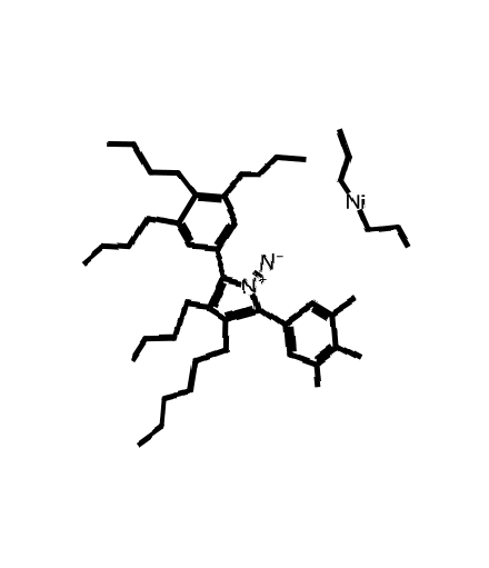 CCCCCCC1=C(c2cc(C)c(C)c(C)c2)[N+](=[N-])C(c2cc(CCCC)c(CCCC)c(CCCC)c2)=C1CCCC.CC[CH2][Ni][CH2]CC